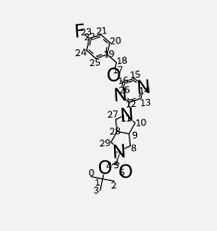 CC(C)(C)OC(=O)N1CC2CN(c3cncc(OCc4ccc(F)cc4)n3)CC2C1